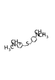 CN(C)c1ccc(CSCc2ccc(N(C)C)cc2)cc1